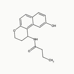 CCCC(=O)NC1CCOc2ccc3ccc(O)cc3c21